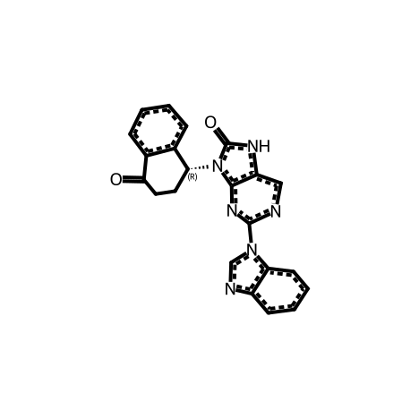 O=C1CC[C@@H](n2c(=O)[nH]c3cnc(-n4cnc5ccccc54)nc32)c2ccccc21